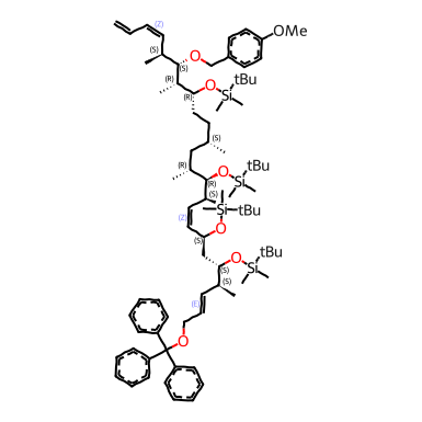 C=C/C=C\[C@H](C)[C@H](OCc1ccc(OC)cc1)[C@@H](C)[C@@H](CC[C@H](C)C[C@@H](C)[C@@H](O[Si](C)(C)C(C)(C)C)[C@@H](C)/C=C\[C@H](C[C@H](O[Si](C)(C)C(C)(C)C)[C@@H](C)/C=C/COC(c1ccccc1)(c1ccccc1)c1ccccc1)O[Si](C)(C)C(C)(C)C)O[Si](C)(C)C(C)(C)C